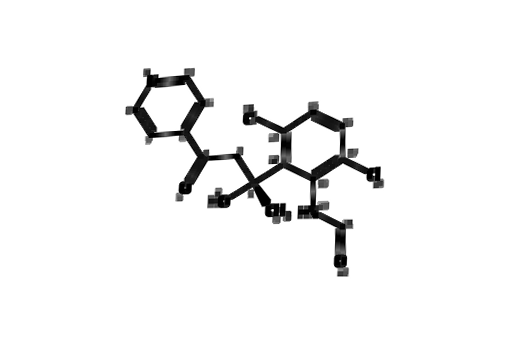 C[C@@](O)(CC(=O)c1ccncc1)c1c(Cl)ccc(Cl)c1NC=O